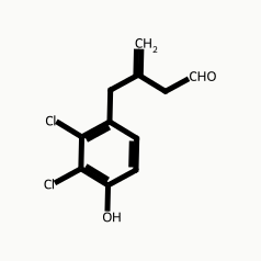 C=C(CC=O)Cc1ccc(O)c(Cl)c1Cl